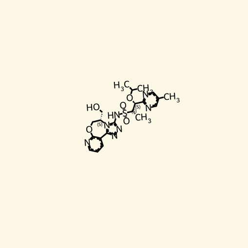 Cc1cnc([C@H](OC(C)C)[C@H](C)S(=O)(=O)Nc2nnc3n2[C@@H](CO)COc2ncccc2-3)nc1